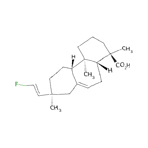 C[C@]1(C=CF)CC[C@H]2C(=CC[C@@H]3[C@]2(C)CCC[C@@]3(C)C(=O)O)C1